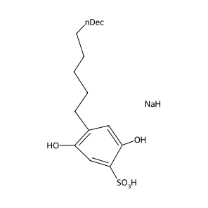 CCCCCCCCCCCCCCCc1cc(O)c(S(=O)(=O)O)cc1O.[NaH]